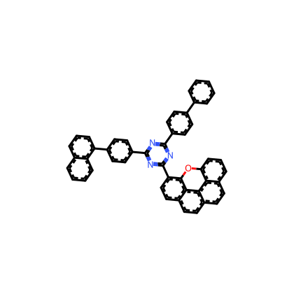 c1ccc(-c2ccc(-c3nc(-c4ccc(-c5cccc6ccccc56)cc4)nc(-c4ccc5ccc6ccc7cccc8c7c6c5c4O8)n3)cc2)cc1